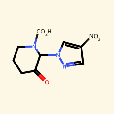 O=C1CCCN(C(=O)O)C1n1cc([N+](=O)[O-])cn1